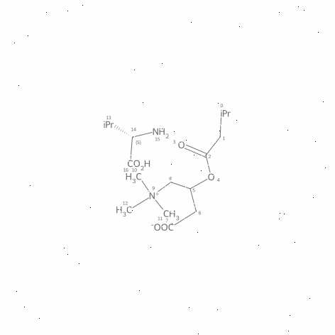 CC(C)CC(=O)OC(CC(=O)[O-])C[N+](C)(C)C.CC(C)[C@H](N)C(=O)O